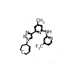 Cc1cc(Nc2cc(C(F)(F)F)ccn2)nc(-c2cn(C3C=CCCCC3)nn2)c1